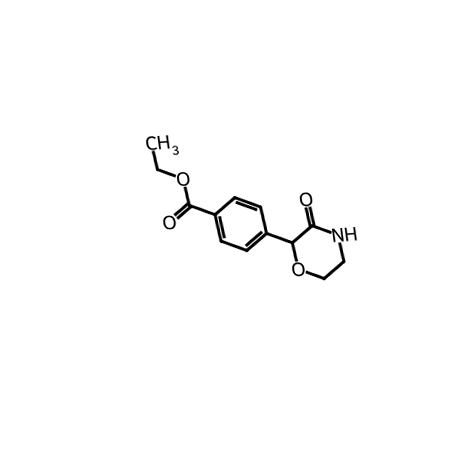 CCOC(=O)c1ccc(C2OCCNC2=O)cc1